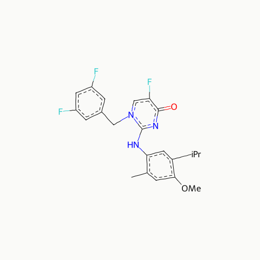 COc1cc(C)c(Nc2nc(=O)c(F)cn2Cc2cc(F)cc(F)c2)cc1C(C)C